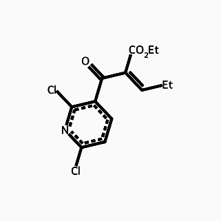 CCC=C(C(=O)OCC)C(=O)c1ccc(Cl)nc1Cl